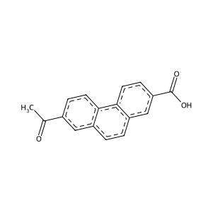 CC(=O)c1ccc2c(ccc3cc(C(=O)O)ccc32)c1